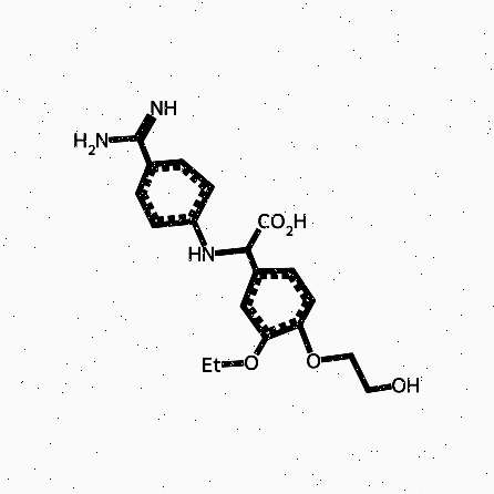 CCOc1cc(C(Nc2ccc(C(=N)N)cc2)C(=O)O)ccc1OCCO